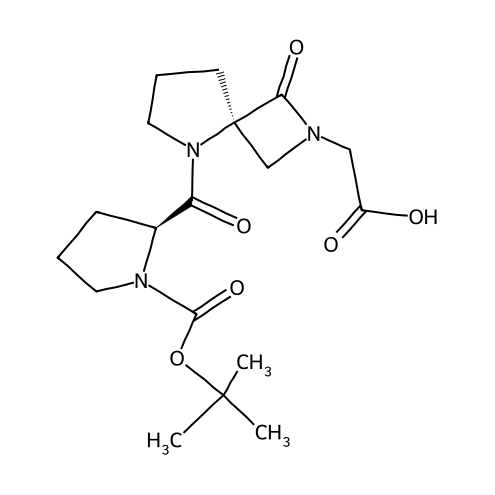 CC(C)(C)OC(=O)N1CCC[C@H]1C(=O)N1CCC[C@]12CN(CC(=O)O)C2=O